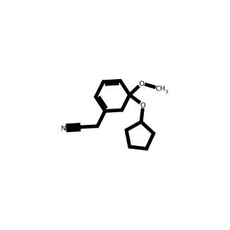 COC1(OC2CCCC2)C=CC=C(CC#N)C1